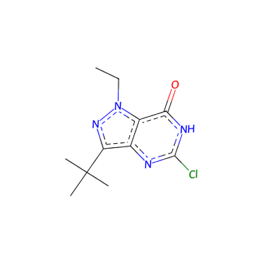 CCn1nc(C(C)(C)C)c2nc(Cl)[nH]c(=O)c21